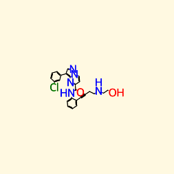 O=C(Nc1ccccc1C#CCCNCCO)c1ccn2ncc(-c3cccc(Cl)c3)c2n1